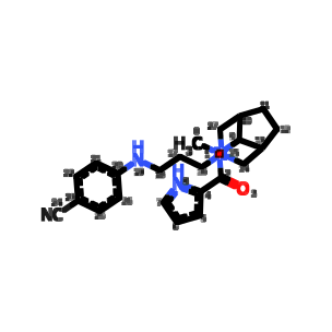 CN(C(=O)c1ccc[nH]1)C1C2CCC1CN(CCCNc1ccc(C#N)cc1)C2